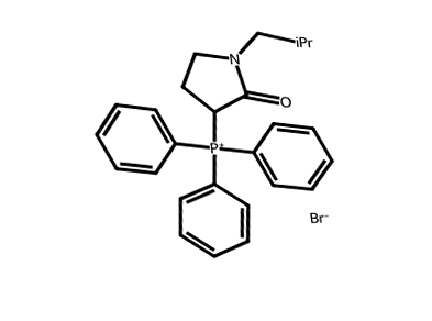 CC(C)CN1CCC([P+](c2ccccc2)(c2ccccc2)c2ccccc2)C1=O.[Br-]